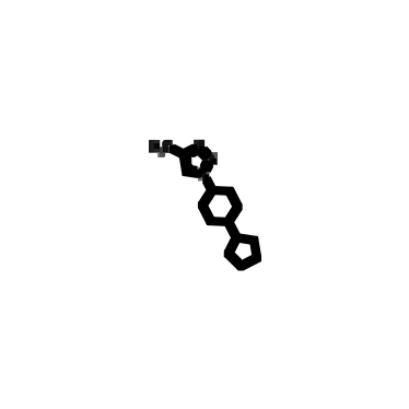 Cc1cn(C2CCC(C3CCCC3)CC2)nn1